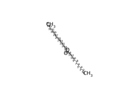 CCCCCCCCCCCCCC=CC(=O)OCCCCCCCCCCCCCCCCCC